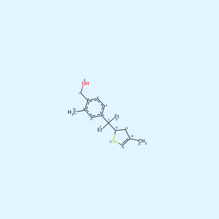 CCC(CC)(c1ccc(CO)c(C)c1)C1CC(C)=CS1